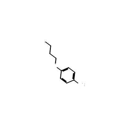 N#Cc1ccc(SCCCCl)cc1